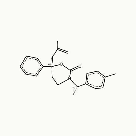 C=C(C)C[C@]1(c2ccccc2)CCN([C@@H](C)c2ccc(C)cc2)C(=O)O1